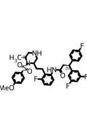 COc1ccc(S(=O)(=O)N2C(CCc3c(F)cccc3NC(=O)C[C@@H](c3ccc(F)cc3)c3cc(F)cc(F)c3)CNC[C@H]2C)cc1